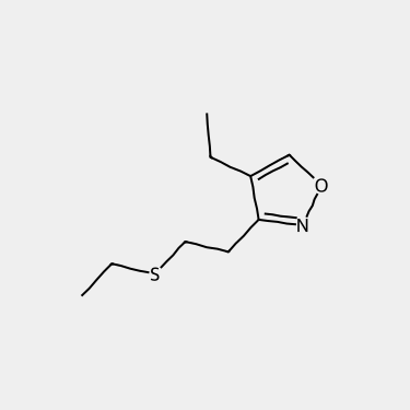 CCSCCc1nocc1CC